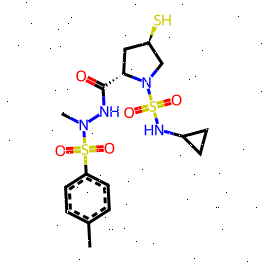 Cc1ccc(S(=O)(=O)N(C)NC(=O)[C@@H]2C[C@@H](S)CN2S(=O)(=O)NC2CC2)cc1